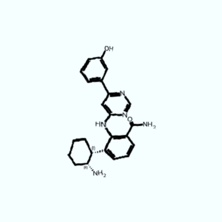 NC(=O)c1cccc([C@H]2CCCC[C@H]2N)c1Nc1cc(-c2cccc(O)c2)ncn1